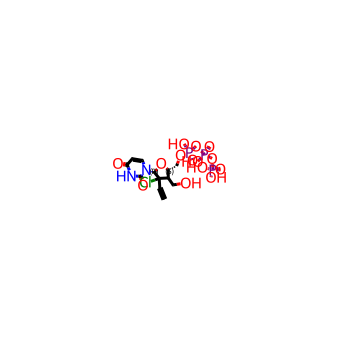 C#CC1(Cl)C(CO)[C@@H](COP(=O)(O)OP(=O)(O)OP(=O)(O)O)O[C@H]1n1ccc(=O)[nH]c1=O